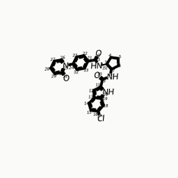 O=C(N[C@H]1CCCC1NC(=O)c1cc2ccc(Cl)cc2[nH]1)c1ccc(-n2ccccc2=O)cc1